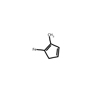 CC1=[C]([Fe])CC=C1